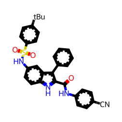 CC(C)(C)c1ccc(S(=O)(=O)Nc2ccc3[nH]c(C(=O)Nc4ccc(C#N)cc4)c(-c4ccccc4)c3c2)cc1